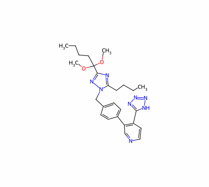 CCCCc1nc(C(CCCC)(OC)OC)nn1Cc1ccc(-c2cnccc2-c2nnn[nH]2)cc1